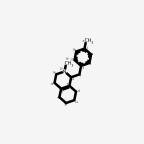 Cc1ccc(CC2C3=C(CCCC3)CCN2C)cc1